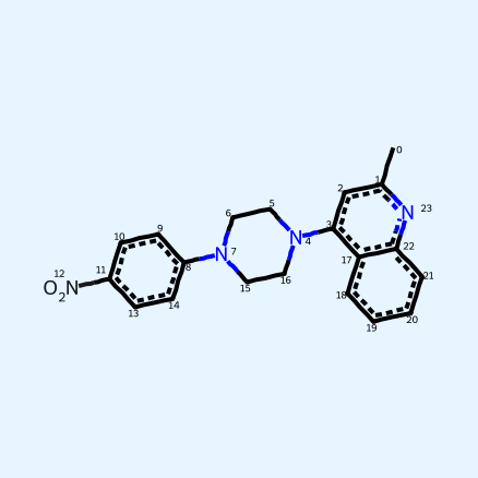 Cc1cc(N2CCN(c3ccc([N+](=O)[O-])cc3)CC2)c2ccccc2n1